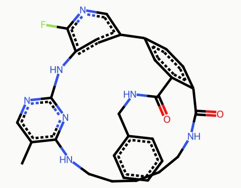 Cc1cnc2nc1NCCCCCNC(=O)c1ccc(cc1C(=O)NCc1ccccc1)-c1cnc(F)c(c1)N2